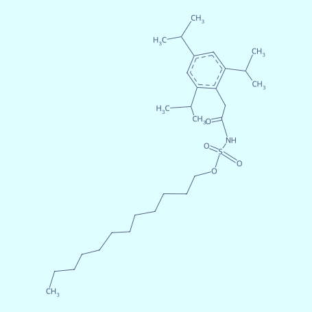 CCCCCCCCCCCCOS(=O)(=O)NC(=O)Cc1c(C(C)C)cc(C(C)C)cc1C(C)C